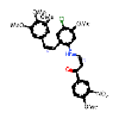 COc1cc(N/C=C\C(=O)c2ccc(OC)c([N+](=O)[O-])c2)c(/C=C\c2cc(OC)c(OC)c(OC)c2)cc1Cl